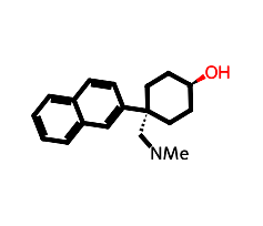 CNC[C@]1(c2ccc3ccccc3c2)CC[C@@H](O)CC1